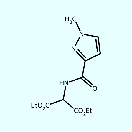 CCOC(=O)C(NC(=O)c1ccn(C)n1)C(=O)OCC